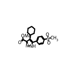 COC(=O)c1n[nH]c(-c2ccc(S(C)(=O)=O)cc2)c1C1CCCCC1